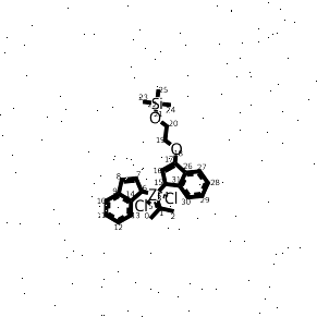 C[C](C)=[Zr]([Cl])([Cl])([CH]1C=Cc2ccccc21)[CH]1C=C(OCCO[Si](C)(C)C)c2ccccc21